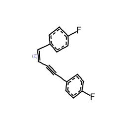 Fc1ccc(C#C/C=C\c2ccc(F)cc2)cc1